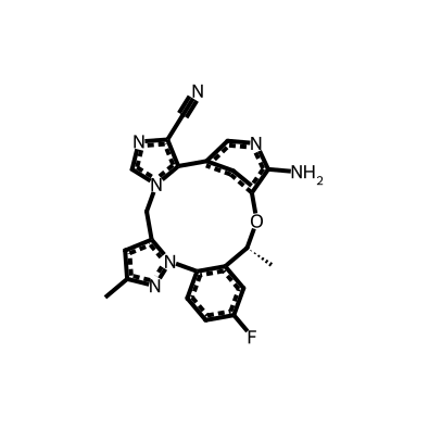 Cc1cc2n(n1)-c1ccc(F)cc1[C@@H](C)Oc1cc(cnc1N)-c1c(C#N)ncn1C2